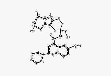 COc1ccc2nc(-c3ccccc3)cc(C(=O)NC3(CO)CCc4[nH]c5c(C)cc(Cl)cc5c4C3)c2c1